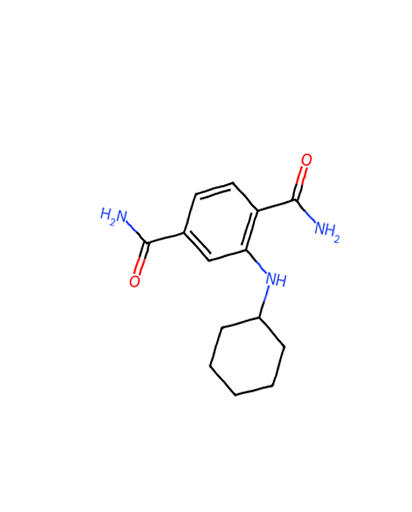 NC(=O)c1ccc(C(N)=O)c(NC2CCCCC2)c1